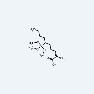 CCCCC(CCC=C(C)C(=O)O)[Si](OC)(OC)OC